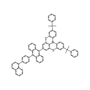 CC(C)(c1ccccc1)c1ccc2c(c1)Sc1cc(-c3c4ccccc4c(-c4ccc(-c5cccc6ccccc56)cc4)c4ccccc34)cc3c1B2c1ccc(C(C)(C)c2ccccc2)cc1S3